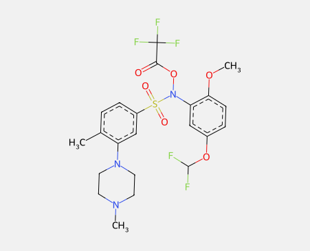 COc1ccc(OC(F)F)cc1N(OC(=O)C(F)(F)F)S(=O)(=O)c1ccc(C)c(N2CCN(C)CC2)c1